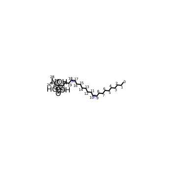 CCCCCCCCC/C=C\CCCCCC/C=C\CCCC(O)(C[N+](C)(C)C)P(=O)(O)O